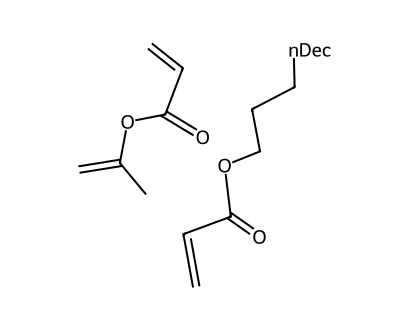 C=CC(=O)OC(=C)C.C=CC(=O)OCCCCCCCCCCCCC